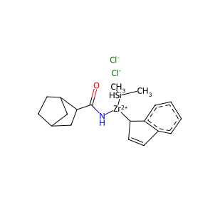 C[SiH](C)[Zr+2]([NH]C(=O)C1CC2CCC1C2)[CH]1C=Cc2ccccc21.[Cl-].[Cl-]